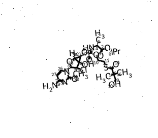 CC(C)OC(=O)[C@@H](C)NP(=O)(OCCSC(=O)C(C)(C)CO)OC1[C@H]2O[C@@H](n3ccc(N)nc3=O)[C@](C)(Cl)[C@@]12O